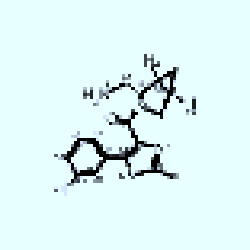 Cc1nc(C(=O)N2C[C@H]3C[C@H]3[C@H]2CN)c(-c2cccc(F)c2)s1